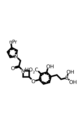 CCCc1ccn(CC(=O)N2CC(Oc3ccc(CCB(O)O)c(O)c3C(=O)O)C2)c1